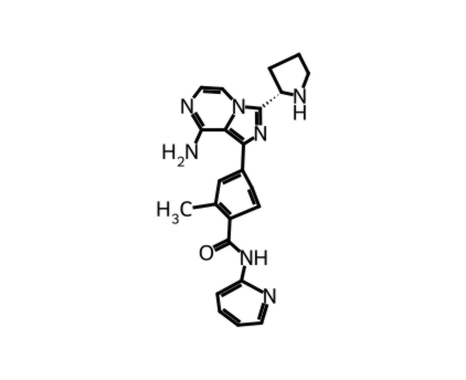 Cc1cc(-c2nc([C@@H]3CCCN3)n3ccnc(N)c23)ccc1C(=O)Nc1ccccn1